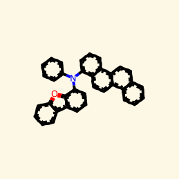 c1ccc(N(c2cccc3c2ccc2c4ccccc4ccc32)c2cccc3c2oc2ccccc23)cc1